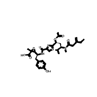 C=C(CC)CC(=O)N(C)[C@H](C[C@@H](OC(C)=O)c1nc(C(=O)N[C@@H](Cc2ccc(O)cc2)C2OC2(C)C(=O)O)cs1)C(C)C